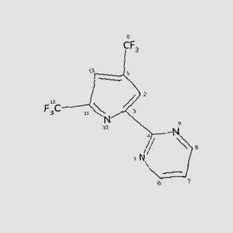 FC(F)(F)c1cc(-c2ncccn2)nc(C(F)(F)F)c1